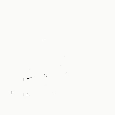 Cl.NC1C(=O)N2C(C(=O)OC(c3ccccc3)c3ccccc3)=C(C[P+](c3ccccc3)(c3ccccc3)c3ccccc3)CS[C@@H]12.[I-]